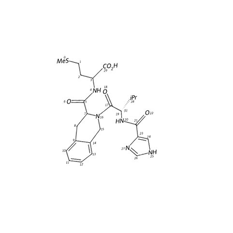 CSCCC(NC(=O)C1Cc2ccccc2CN1C(=O)[C@@H](NC(=O)c1c[nH]cn1)C(C)C)C(=O)O